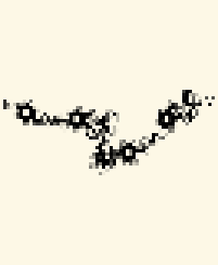 COC(=O)C(C(C)C)N1Cc2ccc(OCCOCc3ccc(B4OC(C)(C)C(C)(CCOC(=O)C(C(C)C)N5Cc6ccc(OCCOCc7ccc(Br)cc7)cc6C5=O)O4)cc3)cc2C1=O